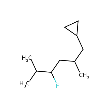 CC(CC1CC1)CC(F)C(C)C